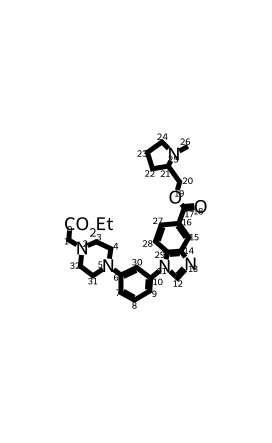 CCOC(=O)CN1CCN(c2cccc(-n3cnc4cc(C(=O)OCC5CCCN5C)ccc43)c2)CC1